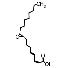 CCCCCCCC[C@@H]1O[C@@H]1CCC/C=C/C=C\C(=O)O